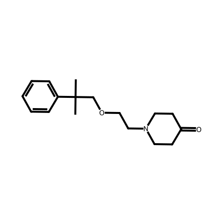 CC(C)(COCCN1CCC(=O)CC1)c1ccccc1